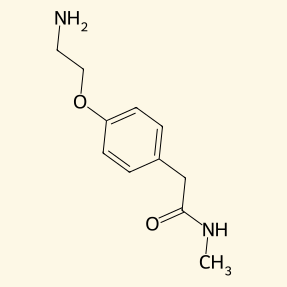 CNC(=O)Cc1ccc(OCCN)cc1